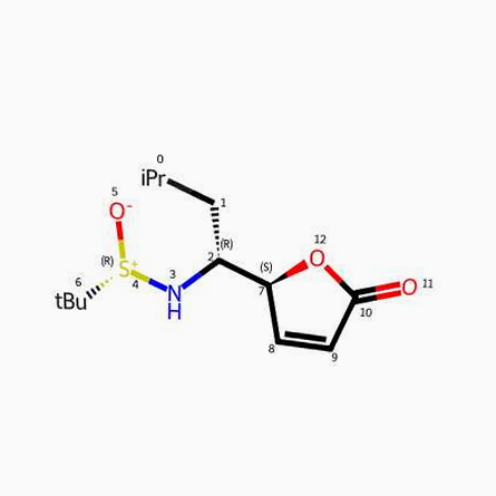 CC(C)C[C@@H](N[S@@+]([O-])C(C)(C)C)[C@@H]1C=CC(=O)O1